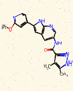 Cc1[nH]nc(C(=O)Nc2cnc3[nH]c(-c4ccnc(OC(C)C)c4)cc3c2)c1C